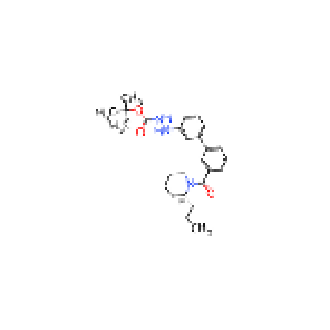 CCC[C@@H]1CCCCN1C(=O)c1cccc(-c2cccc(NNC(=O)OC(C)(C)C)c2)c1